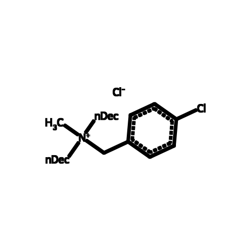 CCCCCCCCCC[N+](C)(CCCCCCCCCC)Cc1ccc(Cl)cc1.[Cl-]